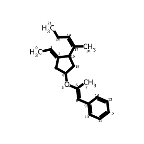 C/C=C1\CC(O/C(C)=C/c2ccccc2)CC1/C(C)=C\CC